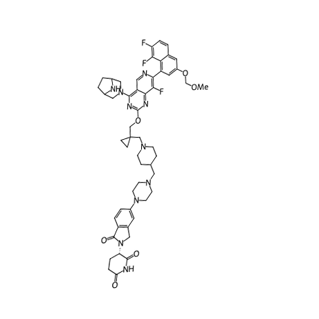 COCOc1cc(-c2ncc3c(N4CC5CCC(C4)N5)nc(OCC4(CN5CCC(CN6CCN(c7ccc8c(c7)CN([C@H]7CCC(=O)NC7=O)C8=O)CC6)CC5)CC4)nc3c2F)c2c(F)c(F)ccc2c1